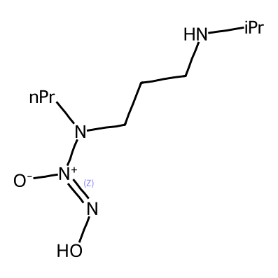 CCCN(CCCNC(C)C)/[N+]([O-])=N/O